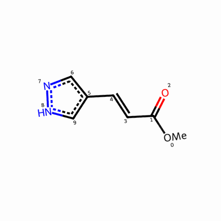 COC(=O)/C=C/c1cn[nH]c1